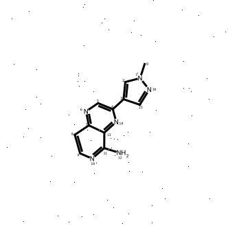 Cn1cc(-c2cnc3ccnc(N)c3n2)cn1